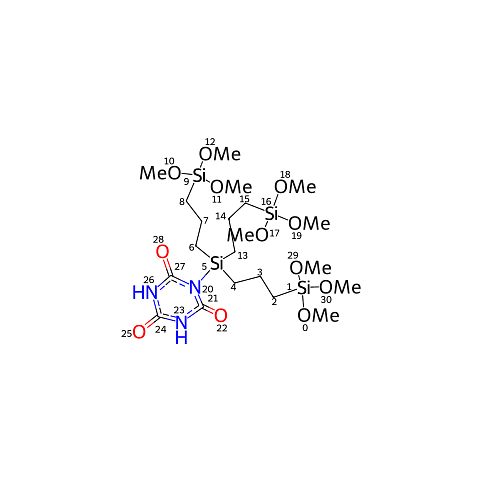 CO[Si](CCC[Si](CCC[Si](OC)(OC)OC)(CCC[Si](OC)(OC)OC)n1c(=O)[nH]c(=O)[nH]c1=O)(OC)OC